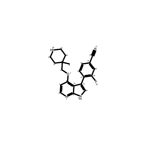 CC1(COc2ccnc3[nH]cc(-c4ccc(C#N)cc4F)c23)CCNCC1